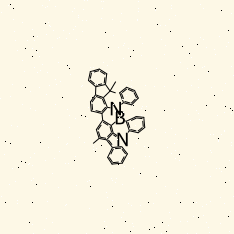 Cc1cc2c3c4c1c1ccccc1n4-c1ccccc1B3N(c1ccccc1)c1c-2ccc2c1C(C)(C)c1ccccc1-2